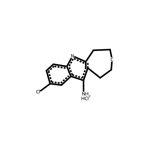 Cl.Nc1c2c(nc3ccc(Cl)cc13)CCCCC2